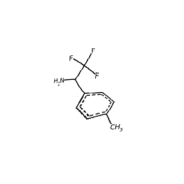 Cc1ccc(C(N)C(F)(F)F)cc1